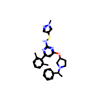 Cc1cccc(C)c1-c1cc(OC2CCN(C(C)c3ccccc3)C2)nc(NSc2cnn(C)c2)n1